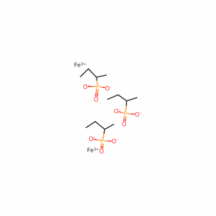 CCC(C)P(=O)([O-])[O-].CCC(C)P(=O)([O-])[O-].CCC(C)P(=O)([O-])[O-].[Fe+3].[Fe+3]